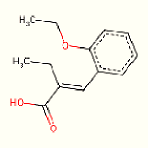 CCOc1ccccc1/C=C(\CC)C(=O)O